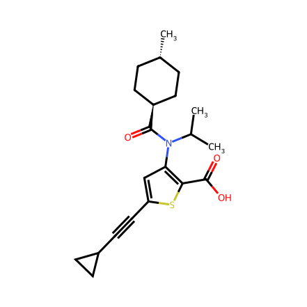 CC(C)N(c1cc(C#CC2CC2)sc1C(=O)O)C(=O)[C@H]1CC[C@H](C)CC1